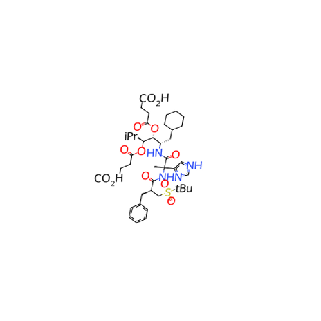 CC(C)[C@H](OC(=O)CCC(=O)O)[C@H](OC(=O)CCC(=O)O)[C@H](CC1CCCCC1)NC(=O)[C@@](C)(NC(=O)[C@H](Cc1ccccc1)CS(=O)(=O)C(C)(C)C)c1c[nH]cn1